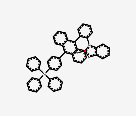 CC(C)c1nc2ccccc2n1-c1ccccc1-c1c2ccccc2c(-c2ccc([Si](c3ccccc3)(c3ccccc3)c3ccccc3)cc2)c2ccccc12